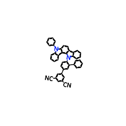 N#Cc1cc(C#N)cc(-c2ccc(-n3c4ccccc4c4ccc5c(c6ccccc6n5-c5ccccc5)c43)c(-c3ccccc3)c2)c1